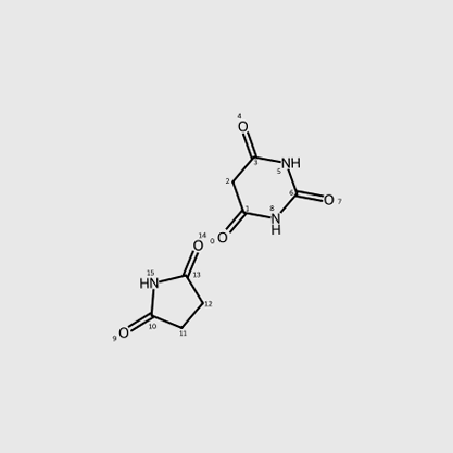 O=C1CC(=O)NC(=O)N1.O=C1CCC(=O)N1